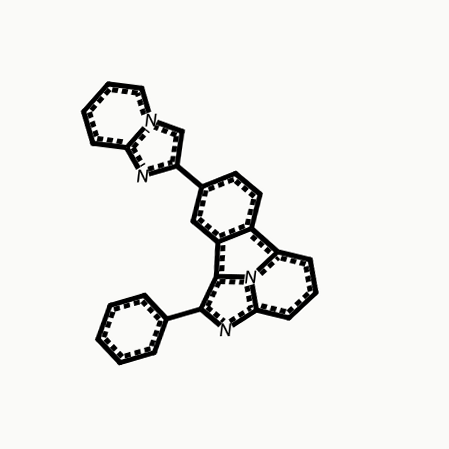 c1ccc(-c2nc3cccc4c5ccc(-c6cn7ccccc7n6)cc5c2n34)cc1